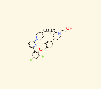 CCOC(=O)C1CCN(c2cccc(-c3cc(F)cc(F)c3OCc3ccc(C4CCN(CCO)CC4)cc3C)n2)CC1